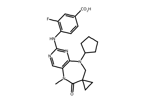 CN1C(=O)C2(CC2)CN(C2CCCC2)c2nc(Nc3ccc(C(=O)O)cc3F)ncc21